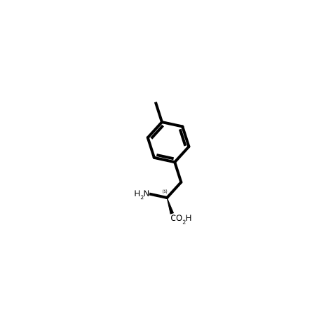 Cc1ccc(C[C@H](N)C(=O)O)cc1